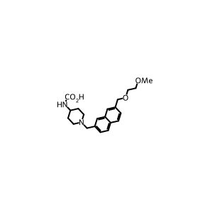 COCCOCc1ccc2ccc(CN3CCC(NC(=O)O)CC3)cc2c1